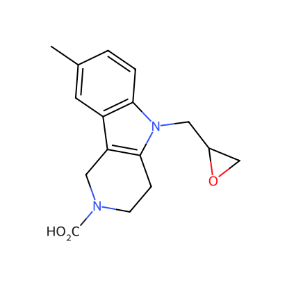 Cc1ccc2c(c1)c1c(n2CC2CO2)CCN(C(=O)O)C1